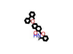 C[C@@H](NC(=O)C1CCc2cc(OCc3ccccc3-c3ccccc3)ccc2C1=O)c1ccccc1